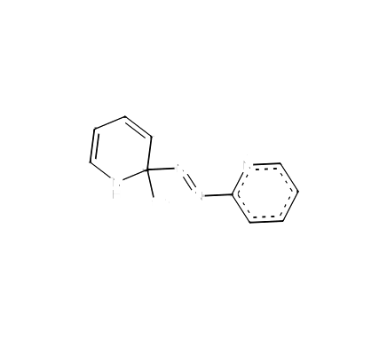 CCCCCC1(N=Nc2ccccn2)C=CC=CN1